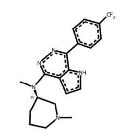 CN1CCC[C@@H](N(C)c2nnc(-c3ccc(C(F)(F)F)cc3)c3[nH]ccc23)C1